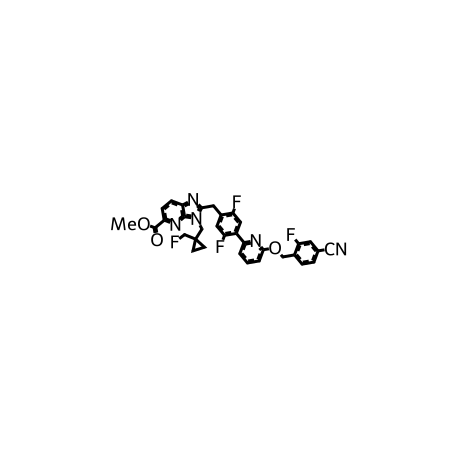 COC(=O)c1ccc2nc(Cc3cc(F)c(-c4cccc(OCc5ccc(C#N)cc5F)n4)cc3F)n(CC3(CF)CC3)c2n1